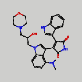 CN(C)c1cccc2c1c(C1=C(c3c[nH]c4ccccc34)C(=O)NC1=O)cn2CC(O)CN1CCOCC1